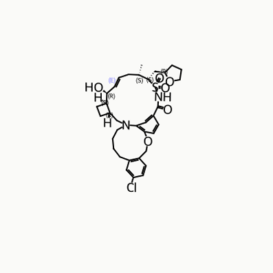 C[C@H]1C/C=C/[C@H](O)[C@@H]2CC[C@H]2CN2CCCCc3cc(Cl)ccc3COc3ccc(cc32)C(=O)NS(=O)(=O)[C@H]1C[C@H]1CCCO1